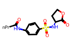 CCCC(=O)Nc1ccc(S(=O)(=O)N[C@H]2CCOC2=O)cc1